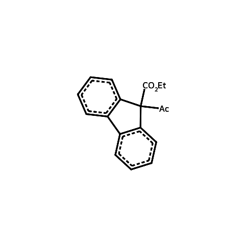 CCOC(=O)C1(C(C)=O)c2ccccc2-c2ccccc21